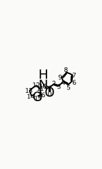 O=C(/C=C/c1ccccc1)NC1CCCOC1